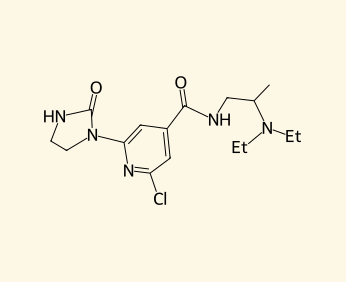 CCN(CC)C(C)CNC(=O)c1cc(Cl)nc(N2CCNC2=O)c1